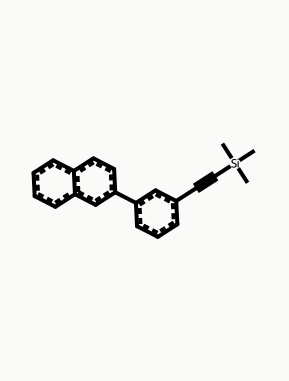 C[Si](C)(C)C#Cc1cccc(-c2ccc3ccccc3c2)c1